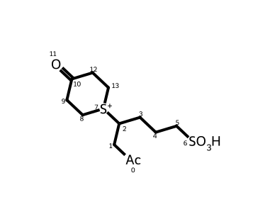 CC(=O)CC(CCCS(=O)(=O)O)[S+]1CCC(=O)CC1